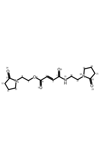 O=C(C=CC(=O)OCCN1CCCC1=O)NCCN1CCCC1=O